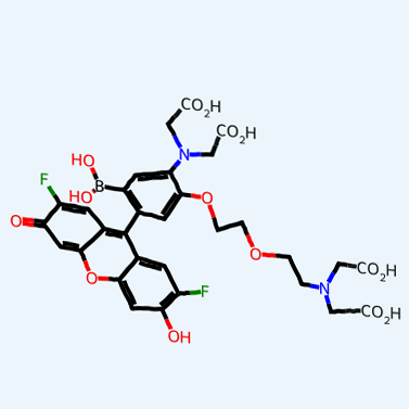 O=C(O)CN(CCOCCOc1cc(-c2c3cc(F)c(=O)cc-3oc3cc(O)c(F)cc23)c(B(O)O)cc1N(CC(=O)O)CC(=O)O)CC(=O)O